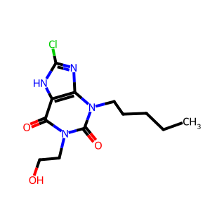 CCCCCn1c(=O)n(CCO)c(=O)c2[nH]c(Cl)nc21